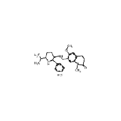 COc1cc2c(cc1CNC1CCC(C(C)C)NC1c1ccccc1)N(C)C(=O)CC2.Cl